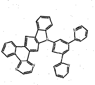 c1ccc(-c2cc(-c3ccccn3)cc(-n3c4ccccc4c4cc5c6ccccc6c6nccnc6c5cc43)c2)nc1